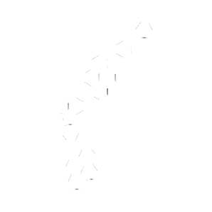 CC1(C)c2ccccc2-c2ccc(-c3ccc4ccc5c(-c6ccc7sc8ccc(-c9ccc%10ccc%11cccc%12ccc9c%10c%11%12)cc8c7c6)ccc6ccc3c4c65)cc21